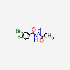 CC(=O)NNC(=O)c1ccc(F)c(Br)c1